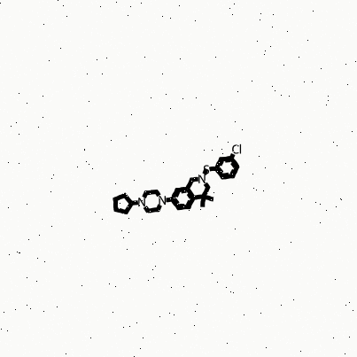 CC1(C)CN(Sc2cccc(Cl)c2)Cc2cc(N3CCN(C4CCCC4)CC3)ccc21